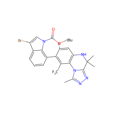 Cc1nnc2n1-c1c(cc(F)c(-c3cccc4c(Br)cn(C(=O)OC(C)(C)C)c34)c1C(F)(F)F)NC2(C)C